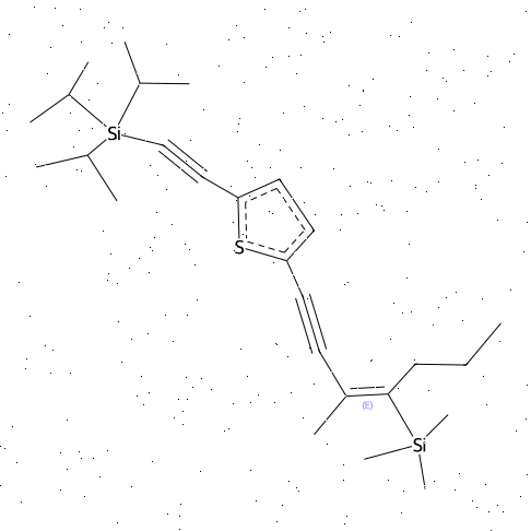 CCC/C(=C(/C)C#Cc1ccc(C#C[Si](C(C)C)(C(C)C)C(C)C)s1)[Si](C)(C)C